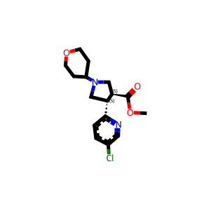 COC(=O)[C@@H]1CN(C2CCOCC2)C[C@H]1c1ccc(Cl)cn1